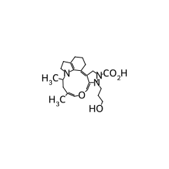 C/C1=C/O/C=C2\C(=C3\CCCC4=C3N(CC4)C(C)C1)CN(C(=O)O)N2CCCO